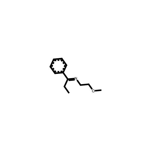 CCC(=NCCOC)c1ccccc1